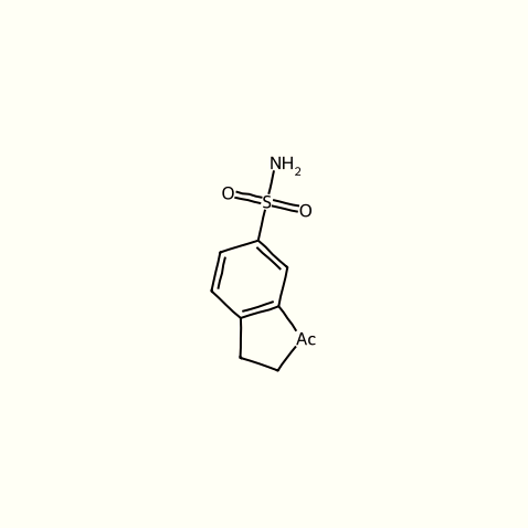 NS(=O)(=O)c1ccc2[c](c1)[Ac][CH2]C2